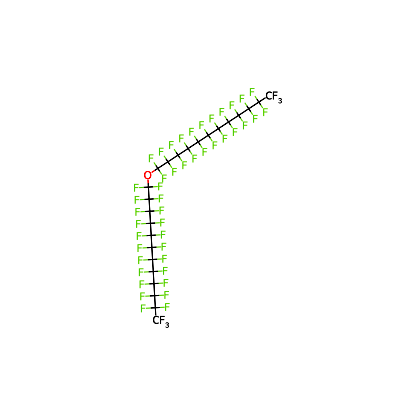 FC(F)(F)C(F)(F)C(F)(F)C(F)(F)C(F)(F)C(F)(F)C(F)(F)C(F)(F)C(F)(F)C(F)(F)C(F)(F)C(F)(F)OC(F)(F)C(F)(F)C(F)(F)C(F)(F)C(F)(F)C(F)(F)C(F)(F)C(F)(F)C(F)(F)C(F)(F)C(F)(F)C(F)(F)F